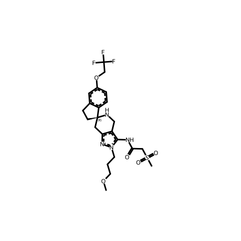 COCCCn1nc2c(c1NC(=O)CS(C)(=O)=O)CN[C@]1(CCc3cc(OCC(F)(F)F)ccc31)C2